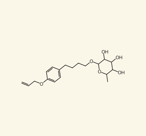 C=CCOc1ccc(CCCCOC2OC(C)C(O)C(O)C2O)cc1